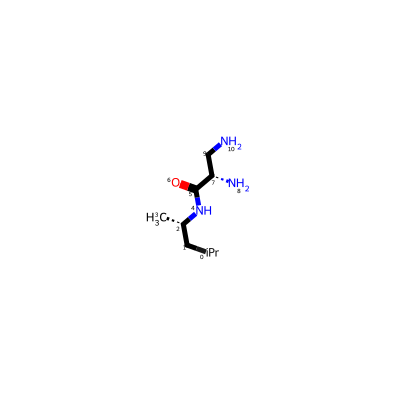 CC(C)C[C@H](C)NC(=O)[C@@H](N)CN